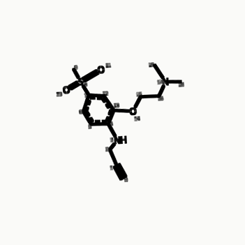 C#CCNc1ccc(S(C)(=O)=O)cc1OCCN(C)C